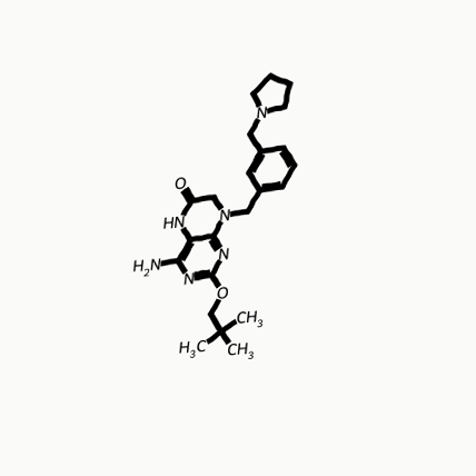 CC(C)(C)COc1nc(N)c2c(n1)N(Cc1cccc(CN3CCCC3)c1)CC(=O)N2